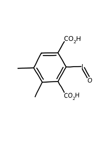 Cc1cc(C(=O)O)c(I=O)c(C(=O)O)c1C